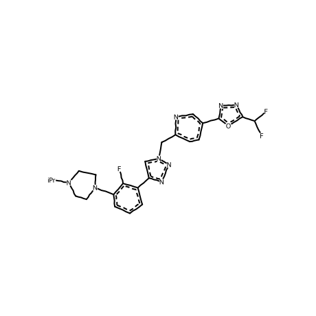 CC(C)N1CCN(c2cccc(-c3cn(Cc4ccc(-c5nnc(C(F)F)o5)cn4)nn3)c2F)CC1